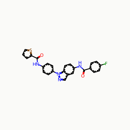 O=C(Nc1ccc2c(cnn2-c2ccc(NC(=O)c3cccs3)cc2)c1)c1ccc(F)cc1